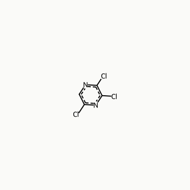 Clc1cnc(Cl)c(Cl)n1